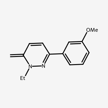 C=C1C=CC(c2cccc(OC)c2)=NN1CC